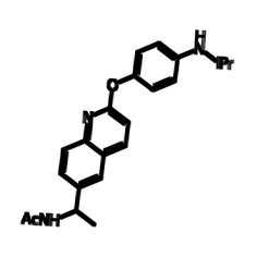 CC(=O)NC(C)c1ccc2nc(Oc3ccc(NC(C)C)cc3)ccc2c1